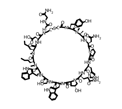 CCCC[C@H]1C(=O)N(C)[C@@H](CCCC)C(=O)N[C@@H](CC(=O)O)C(=O)N[C@H](CC(=O)NCC(N)=O)CSCC(=O)N[C@@H](Cc2ccc(O)cc2)C(=O)N(C)[C@@H](C)C(=O)N[C@@H](CC(N)=O)C(=O)N2CCC[C@H]2C(=O)N[C@@H](Cc2c[nH]cn2)C(=O)N[C@@H](CCC(N)=O)C(=O)N2C[C@H](O)C[C@H]2C(=O)N[C@@H](Cc2c[nH]c3ccccc23)C(=O)N[C@@H](CO)C(=O)N[C@@H](Cc2c[nH]c3ccccc23)C(=O)N1C